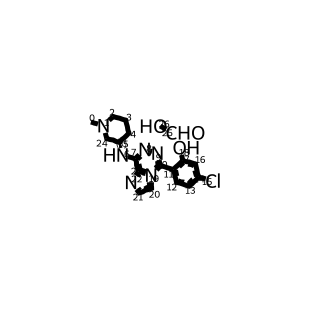 CN1CCC[C@@H](Nc2nnc(-c3ccc(Cl)cc3O)n3ccnc23)C1.O=CO